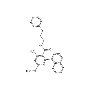 CSc1nc(C)c(C(=O)NCCCc2ccccc2)c(-c2cccc3ccccc23)n1